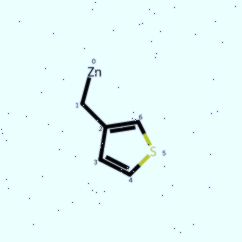 [Zn][CH2]c1ccsc1